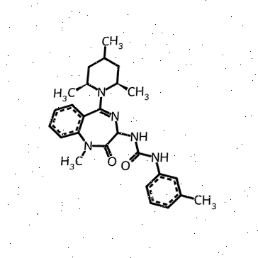 Cc1cccc(NC(=O)NC2N=C(N3[C@H](C)CC(C)C[C@@H]3C)c3ccccc3N(C)C2=O)c1